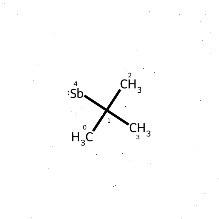 C[C](C)(C)[Sb]